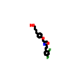 OCCCCc1ccc(OCc2coc(C=Cc3ccc(F)cc3F)n2)cc1